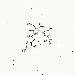 N#Cc1ccc(Oc2c(Cl)cc(C(F)(F)F)cc2Cl)cc1C(=O)NC(=O)Oc1ccc(Cl)cc1Cl